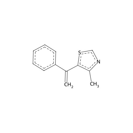 C=C(c1ccccc1)c1scnc1C